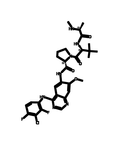 CN[C@@H](C)C(=O)N[C@H](C(=O)N1CCC[C@H]1C(=O)Nc1cc2c(Nc3ccc(F)c(Cl)c3F)ncnc2cc1OC)C(C)(C)C